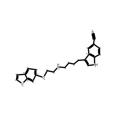 N#Cc1ccc2[nH]cc(CCCCNCCOc3ccc4ccoc4c3)c2c1